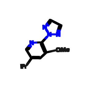 COc1cc(C(C)C)cnc1-n1nccn1